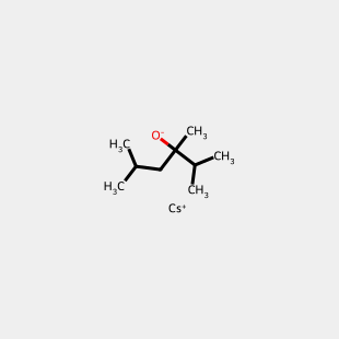 CC(C)CC(C)([O-])C(C)C.[Cs+]